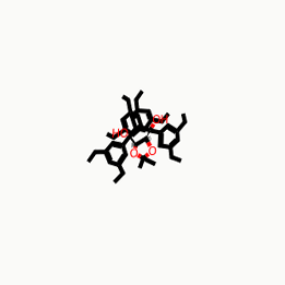 CCc1cc(CC)cc(C(O)(c2cc(CC)cc(CC)c2)[C@@H]2OC(C)(C)O[C@H]2C(O)(c2cc(CC)cc(CC)c2)c2cc(CC)cc(CC)c2)c1